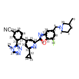 CC1CCCN(Cc2cc(F)c3oc(-c4cc(-c5ccc(C#N)cc5-c5nncn5C)cc(C5CC5)n4)nc3c2)C1